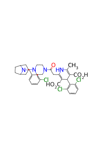 CC1=C(C(=O)O)C(c2c(Cl)cccc2Cl)C(C(=O)O)=C(CC(=O)N2CCN(C3CC4CCC(C3)N4Cc3cccc(Cl)c3)CC2)N1